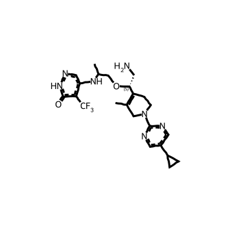 CC1=C([C@@H](CN)OCC(C)Nc2cn[nH]c(=O)c2C(F)(F)F)CCN(c2ncc(C3CC3)cn2)C1